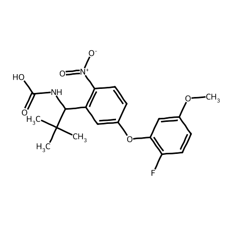 COc1ccc(F)c(Oc2ccc([N+](=O)[O-])c(C(NC(=O)O)C(C)(C)C)c2)c1